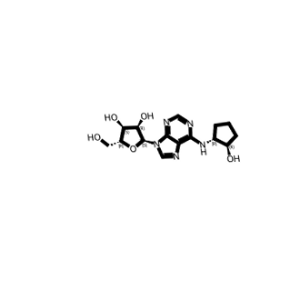 OC[C@H]1O[C@H](n2cnc3c(N[C@@H]4CCC[C@H]4O)ncnc32)[C@H](O)[C@@H]1O